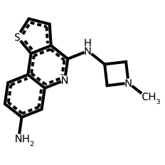 CN1CC(Nc2nc3cc(N)ccc3c3sccc23)C1